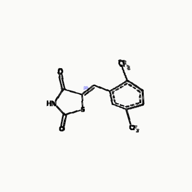 O=C1NC(=O)/C(=C/c2cc(C(F)(F)F)ccc2C(F)(F)F)S1